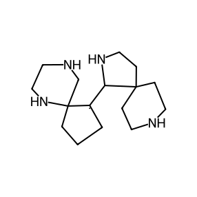 C1C[C](C2NCCC23CCNCC3)C2(C1)CNCCN2